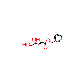 O=C(C=CC(O)CO)OCc1ccccc1